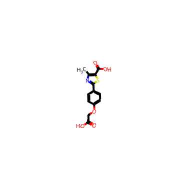 Cc1nc(-c2ccc(OCC(=O)O)cc2)sc1C(=O)O